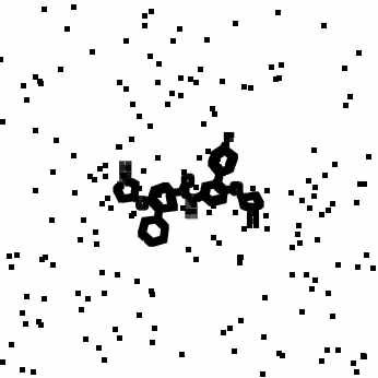 O=C(Nc1ccc(O[C@H]2CCNC2)c(-c2ccc(F)cc2)c1)c1ccc(O[C@H]2CCNC2)c(C2CCCCC2)c1